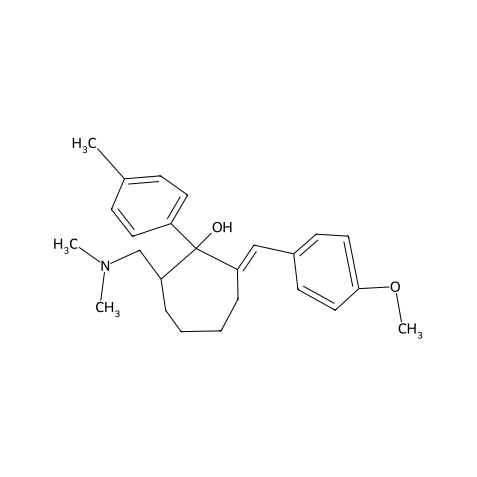 COc1ccc(C=C2CCCCC(CN(C)C)C2(O)c2ccc(C)cc2)cc1